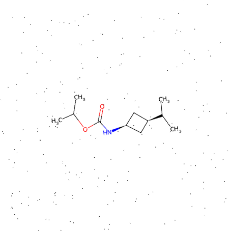 CC(C)OC(=O)N[C@H]1C[C@@H](C(C)C)C1